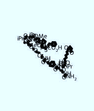 CC[C@H](C)[C@@H]([C@@H](CC(=O)N1CCC[C@H]1[C@H](OC)[C@@H](C)C(=S)N[C@@H](Cc1ccccc1)C(=O)O)OC)N(C)C(=O)[C@@H](NC(=O)[C@H](C(C)C)N(C)C(=O)CCOCCOCCOCCNC(=O)OCc1ccc(NC(=O)[C@H](CCCNC(N)=O)NC(=O)[C@@H](NC(=O)CCCCCN2C(=O)C=CC2=O)C(C)C)cc1)C(C)C